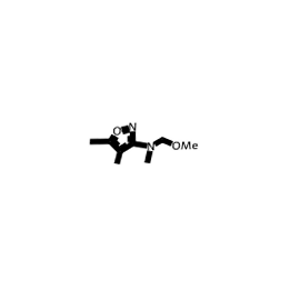 COCN(C)c1noc(C)c1C